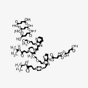 CCOCCn1c(CN2CCN(CCC(=O)NC(C)C)CC2)nc2cccnc21.CCOCCn1c(CN2CCN(CCC(=O)NC(C)C)CC2)nc2cccnc21.O=C(O)C=CC(=O)O.O=C(O)C=CC(=O)O.O=C(O)C=CC(=O)O.O=C(O)C=CC(=O)O.O=C(O)C=CC(=O)O